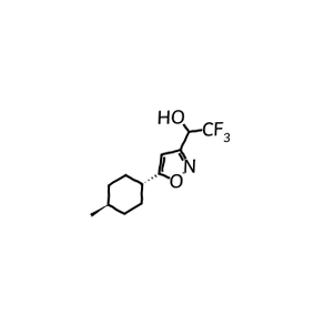 C[C@H]1CC[C@H](c2cc(C(O)C(F)(F)F)no2)CC1